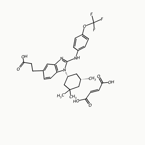 C[C@H]1C[C@@H](n2c(Nc3ccc(OC(F)(F)F)cc3)nc3cc(CCC(=O)O)ccc32)CC(C)(C)C1.O=C(O)/C=C/C(=O)O